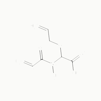 C=CCOC(C(=O)O)N(C)C(=O)C=C